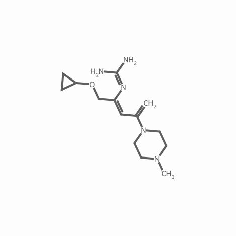 C=C(/C=C(/COC1CC1)N=C(N)N)N1CCN(C)CC1